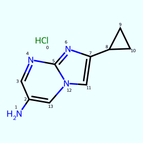 Cl.Nc1cnc2nc(C3CC3)cn2c1